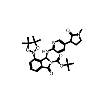 CN1CCC(c2ccc(NC3c4c(B5OC(C)(C)C(C)(C)O5)cccc4C(=O)N3C(=O)OC(C)(C)C)nc2)C1=O